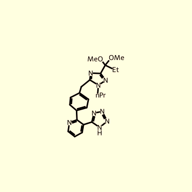 CCCn1nc(C(CC)(OC)OC)nc1Cc1ccc(-c2ncccc2-c2nnn[nH]2)cc1